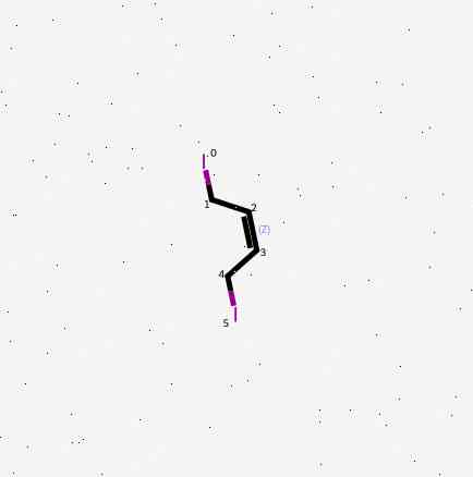 IC/C=C\CI